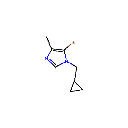 Cc1n[c]n(CC2CC2)c1Br